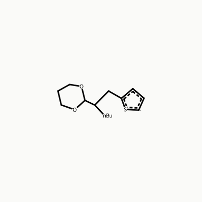 CCCCC(Cc1cc[c]s1)C1OCCCO1